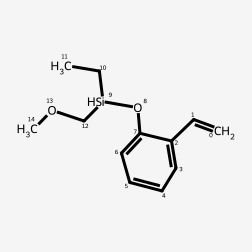 C=Cc1ccccc1O[SiH](CC)COC